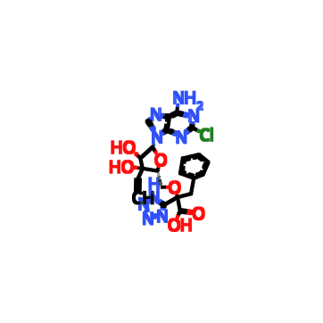 C#C[C@@]1(O)[C@@H](COC(Cc2ccccc2)(C(=O)O)c2nnn[nH]2)O[C@@H](n2cnc3c(N)nc(Cl)nc32)[C@@H]1O